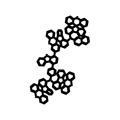 c1ccc2c(c1)Sc1ccccc1C21c2ccccc2-c2c(N(c3ccc(-c4ccc(-c5ccc6c(c5)Sc5ccccc5C65c6ccccc6-c6c(N(c7ccc8ccccc8c7)c7cccc8c7-c7ccccc7C87c8ccccc8Sc8ccccc87)cccc65)c5sc6ccccc6c45)cc3)c3cccc4c3-c3ccccc3C43c4ccccc4Sc4ccccc43)cccc21